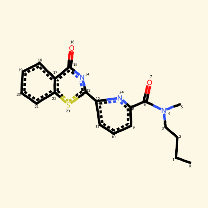 CCCCN(C)C(=O)c1cccc(-c2nc(=O)c3ccccc3s2)n1